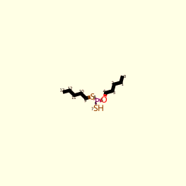 CCCCCOP(S)SCCCCC